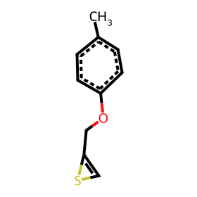 Cc1ccc(OCC2=CS2)cc1